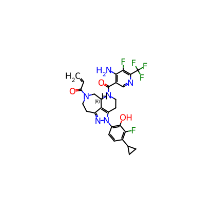 C=CC(=O)N1CCc2nn(-c3ccc(C4CC4)c(F)c3O)c3c2[C@H](C1)N(C(=O)c1cnc(C(F)(F)F)c(F)c1N)CC3